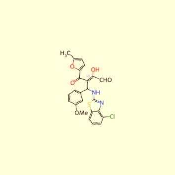 COc1cccc(C(Nc2nc3c(Cl)cccc3s2)/C(C(=O)c2ccc(C)o2)=C(/O)C=O)c1